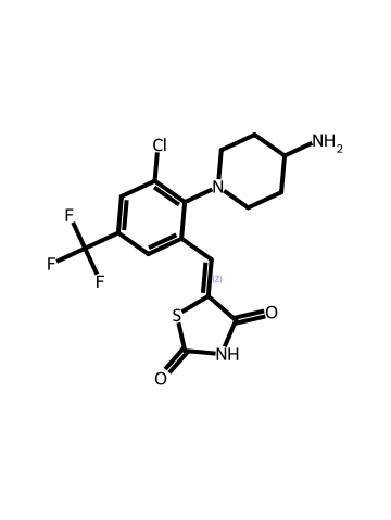 NC1CCN(c2c(Cl)cc(C(F)(F)F)cc2/C=C2\SC(=O)NC2=O)CC1